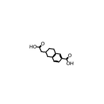 O=C(O)CC1CCc2cc(C(=O)O)ccc2C1